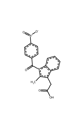 Cc1c(CC(=O)O)c2ccccc2n1C(=O)c1ccc([N+](=O)[O-])cc1